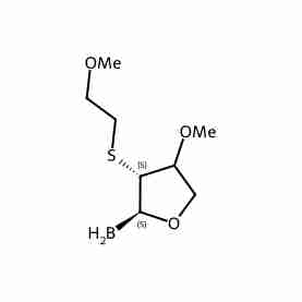 B[C@@H]1OCC(OC)[C@H]1SCCOC